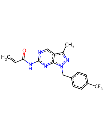 C=CC(=O)Nc1ncc2c(C)nn(Cc3ccc(C(F)(F)F)cc3)c2n1